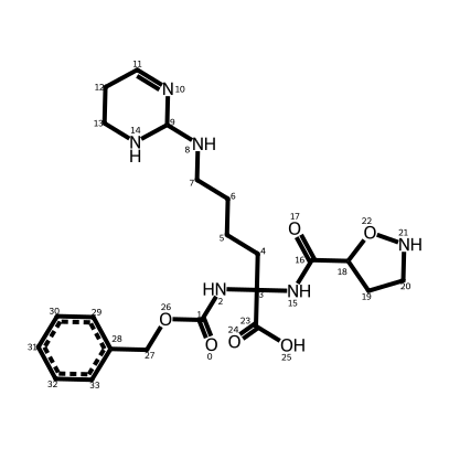 O=C(NC(CCCCNC1N=CCCN1)(NC(=O)C1CCNO1)C(=O)O)OCc1ccccc1